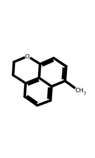 Cc1ccc2c3c(cccc13)CCO2